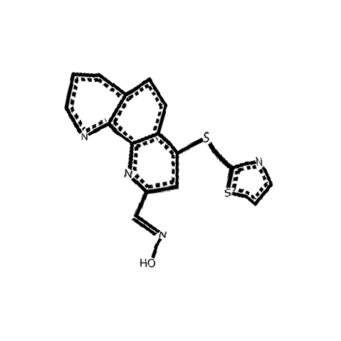 O/N=C/c1cc(Sc2nccs2)c2ccc3cccnc3c2n1